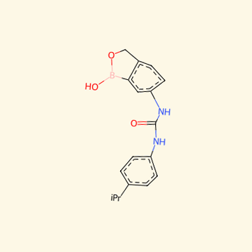 CC(C)c1ccc(NC(=O)Nc2ccc3c(c2)B(O)OC3)cc1